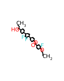 C=CCCOc1ccc(C(=O)Oc2ccc(-c3ccc(-c4ccc(C(O)CCC)cc4)c(F)c3F)cc2)cc1F